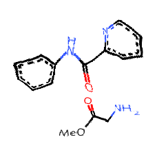 COC(=O)CN.O=C(Nc1ccccc1)c1ccccn1